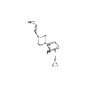 N#CC=CC1CC(n2ccc(C3CC3)n2)C1